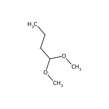 CC[CH]C(OC)OC